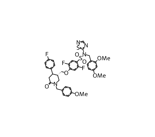 COc1ccc(CN2C[C@@H](COc3cc(F)c(S(=O)(=O)N(Cc4ccc(OC)cc4OC)c4ncns4)cc3F)C(c3ccc(F)cc3)CC2=O)cc1